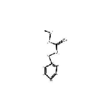 CSSC(=O)OCc1ccccc1